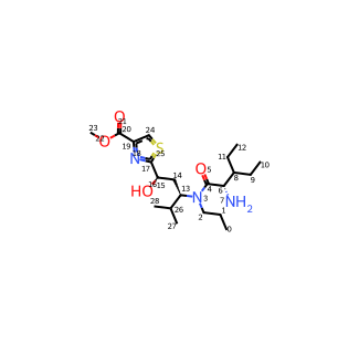 CCCN(C(=O)[C@@H](N)C(CC)CC)[C@H](C[C@@H](O)c1nc(C(=O)OC)cs1)C(C)C